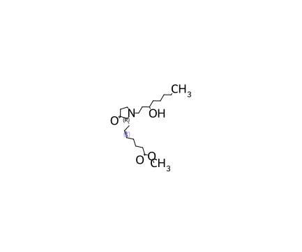 CCCCCC(O)CCN1CCC(=O)[C@H]1C/C=C\CCCC(=O)OC